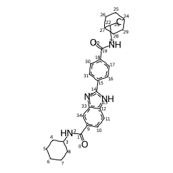 O=C(NC1CCCCC1)c1ccc2[nH]c(-c3ccc(C(=O)NC4CC5CCC4CC5)cc3)nc2c1